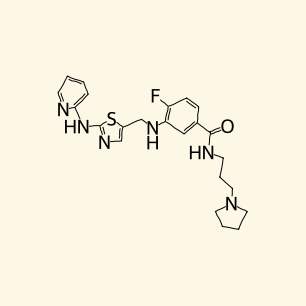 O=C(NCCCN1CCCC1)c1ccc(F)c(NCc2cnc(Nc3ccccn3)s2)c1